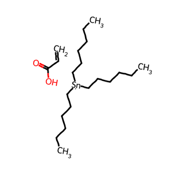 C=CC(=O)O.CCCCC[CH2][Sn]([CH2]CCCCC)[CH2]CCCCC